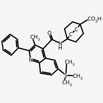 Cc1c(-c2ccccc2)nc2ccc(S(C)(C)C)cc2c1C(=O)NC12CCC(C(=O)O)(CC1)CC2